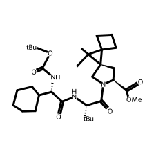 COC(=O)[C@@H]1C[C@@]2(CN1C(=O)[C@@H](NC(=O)[C@@H](NC(=O)OC(C)(C)C)C1CCCCC1)C(C)(C)C)C(C)(C)C21CCC1